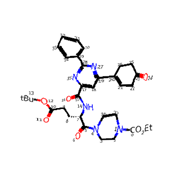 CCOC(=O)N1CCN(C(=O)[C@H](CCC(=O)OC(C)(C)C)NC(=O)c2cc(C3=CCC(=O)CC3)nc(-c3ccccc3)n2)CC1